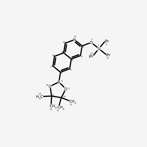 CC(C)[Si](Oc1cc2cc(B3OC(C)(C)C(C)(C)O3)ccc2cn1)(C(C)C)C(C)C